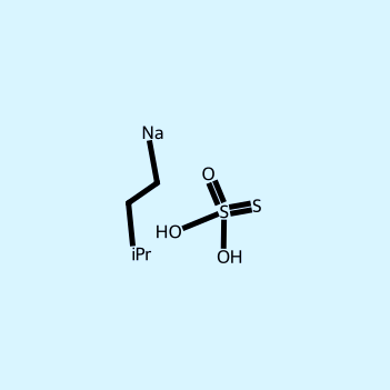 CC(C)C[CH2][Na].O=S(O)(O)=S